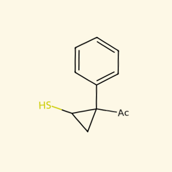 CC(=O)C1(c2ccccc2)CC1S